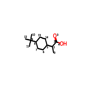 CC(C(=O)O)C1CCC(C(C)(C)C)CC1